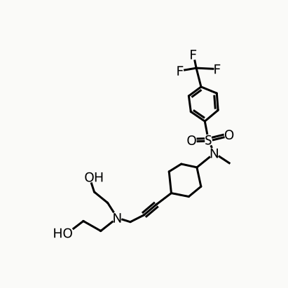 CN(C1CCC(C#CCN(CCO)CCO)CC1)S(=O)(=O)c1ccc(C(F)(F)F)cc1